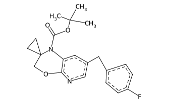 CC(C)(C)OC(=O)N1c2cc(Cc3ccc(F)cc3)cnc2OCC12CC2